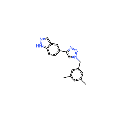 Cc1cc(C)cc(Cn2cc(-c3ccc4[nH]ncc4c3)nn2)c1